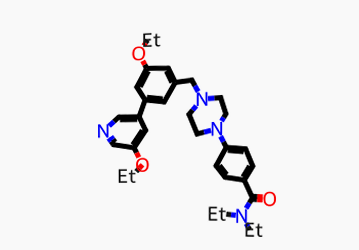 CCOc1cncc(-c2cc(CN3CCN(c4ccc(C(=O)N(CC)CC)cc4)CC3)cc(OCC)c2)c1